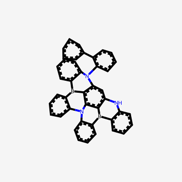 c1ccc(-c2ccccc2N2c3ccccc3B3c4ccccc4N4c5ccccc5B5c6ccccc6Nc6cc2c3c4c65)cc1